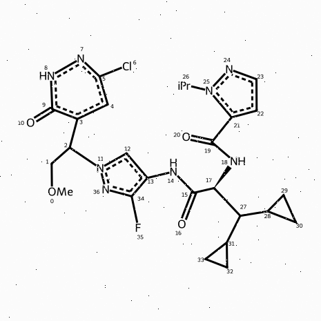 COCC(c1cc(Cl)n[nH]c1=O)n1cc(NC(=O)[C@@H](NC(=O)c2ccnn2C(C)C)C(C2CC2)C2CC2)c(F)n1